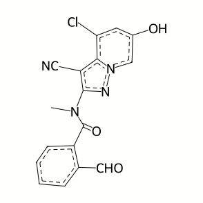 CN(C(=O)c1ccccc1C=O)c1nn2cc(O)cc(Cl)c2c1C#N